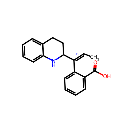 C/C=C(\c1ccccc1C(=O)O)C1CCc2ccccc2N1